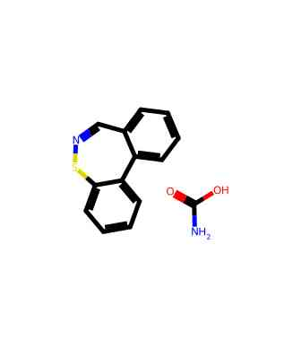 C1=NSc2ccccc2-c2ccccc21.NC(=O)O